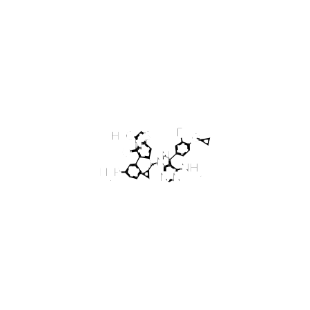 Cc1csc2cc([C@H](C3CC3)n3nc(-c4ccc(OC5CC5)c(F)c4)c4c(N)ncnc43)c(-c3cccc(P)c3)c(=O)n12